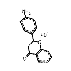 Cl.Nc1ccc(C2CC(=O)c3ccccc3O2)cc1